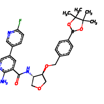 CC1(C)OB(c2ccc(CO[C@H]3COC[C@@H]3NC(=O)c3cc(-c4ccc(F)nc4)cnc3N)cc2)OC1(C)C